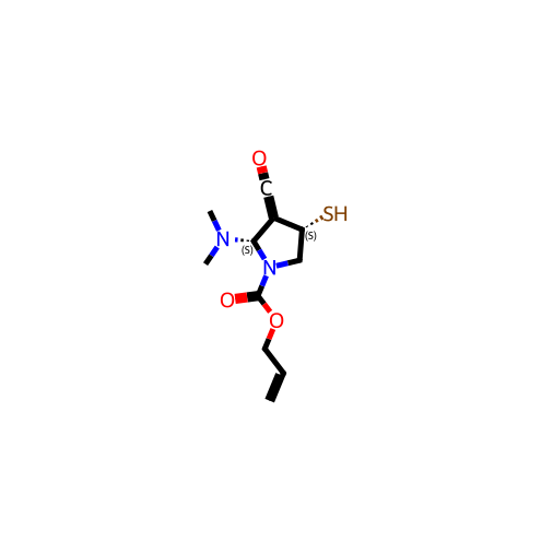 C=CCOC(=O)N1C[C@@H](S)C(=C=O)[C@H]1N(C)C